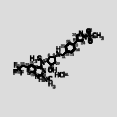 CNc1nc(N(C)[C@H]2C[C@@H](NCc3ccc(-c4cnn(S(C)(=O)=O)c4)cc3)C[C@H]2O)c2cc(CC(F)(F)F)sc2n1.Cl